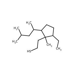 CCC1CCC(C(C)CC(C)C)C1(C)CCS